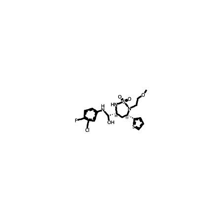 COCCN1[C@H](c2cccs2)C[C@H](C(O)Nc2ccc(F)c(Cl)c2)NS1(=O)=O